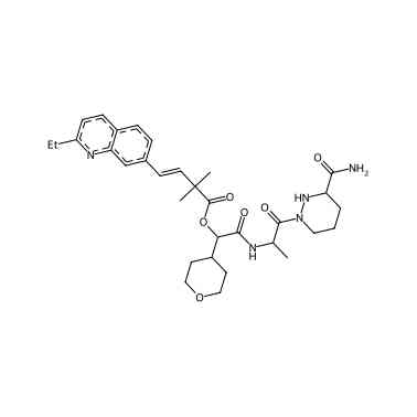 CCc1ccc2ccc(/C=C/C(C)(C)C(=O)OC(C(=O)NC(C)C(=O)N3CCCC(C(N)=O)N3)C3CCOCC3)cc2n1